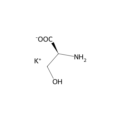 N[C@@H](CO)C(=O)[O-].[K+]